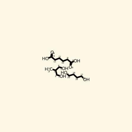 CC(CO)CO.O=C(O)CCCCC(=O)O.OCCCCO